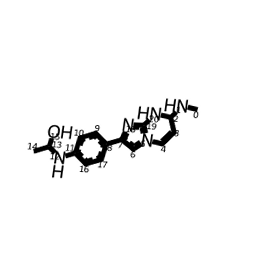 CNC1C=Cn2cc(-c3ccc(NC(C)O)cc3)nc2N1